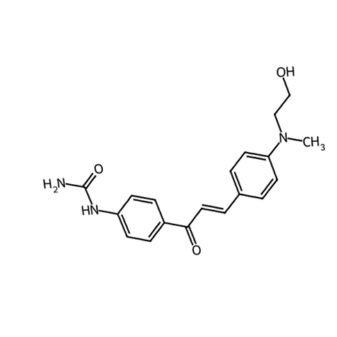 CN(CCO)c1ccc(/C=C/C(=O)c2ccc(NC(N)=O)cc2)cc1